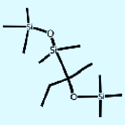 CCC(C)(O[Si](C)(C)C)[Si](C)(C)O[Si](C)(C)C